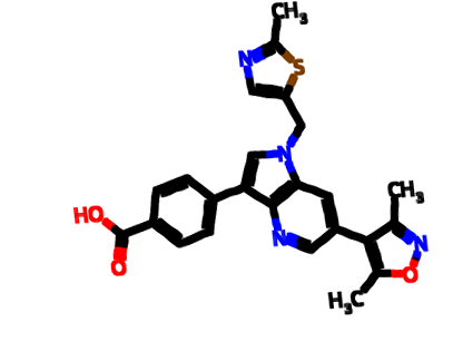 Cc1ncc(Cn2cc(-c3ccc(C(=O)O)cc3)c3ncc(-c4c(C)noc4C)cc32)s1